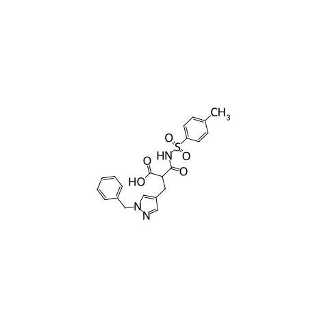 Cc1ccc(S(=O)(=O)NC(=O)C(Cc2cnn(Cc3ccccc3)c2)C(=O)O)cc1